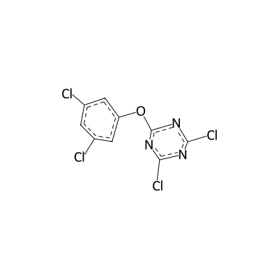 Clc1cc(Cl)cc(Oc2nc(Cl)nc(Cl)n2)c1